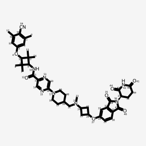 Cc1cc(OC2C(C)(C)C(NC(=O)c3cnc(N4CCC(CN(C)C5CC(Oc6ccc7c(c6)C(=O)N([C@@H]6CCC(=O)NC6=O)C7=O)C5)CC4)cn3)C2(C)C)cc(C)c1C#N